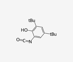 CC(C)(C)c1cc(N=C=O)c(O)c(C(C)(C)C)c1